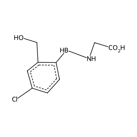 O=C(O)CNBc1ccc(Cl)cc1CO